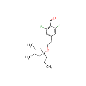 CCC[Si](CCC)(CCC)OCCc1cc(F)c(C=O)c(F)c1